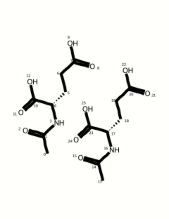 CC(=O)N[C@@H](CCC(=O)O)C(=O)O.CC(=O)N[C@@H](CCC(=O)O)C(=O)O